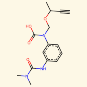 C#CC(C)OCN(C(=O)O)c1cccc(NC(=O)N(C)C)c1